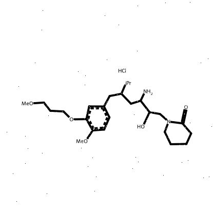 COCCCOc1cc(CC(CC(N)C(O)CN2CCCCC2=O)C(C)C)ccc1OC.Cl